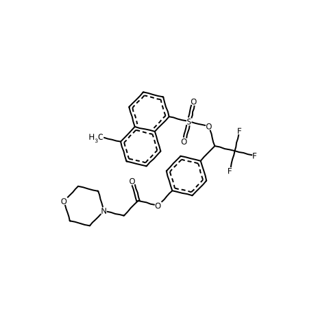 Cc1cccc2c(S(=O)(=O)OC(c3ccc(OC(=O)CN4CCOCC4)cc3)C(F)(F)F)cccc12